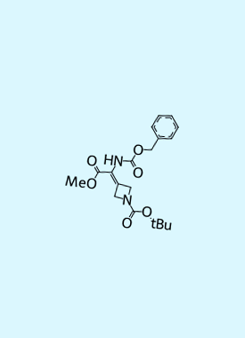 COC(=O)C(NC(=O)OCc1ccccc1)=C1CN(C(=O)OC(C)(C)C)C1